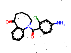 Nc1ccc(C(=O)N2CCCCC(=O)c3ccccc32)c(Cl)c1